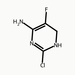 NC1=C(F)CNC(Cl)=N1